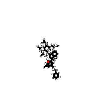 COC(=O)C[C@H]1O[C@@H](OC(=O)[C@@H](Oc2nc(C)cc(COCc3ccccc3)n2)C(OC)(c2ccccc2)c2ccccc2)[C@H](OC(C)=O)[C@@H](OC(C)=O)[C@@H]1OC(C)=O